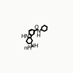 CCCNC1CCc2[nH]c3ccc(C(=O)NC4CCCCC4)cc3c2C1